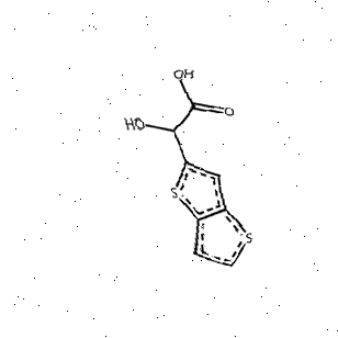 O=C(O)C(O)c1cc2sccc2s1